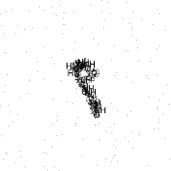 C[C@H](NC(=O)OCC1c2ccccc2-c2ccccc21)C(=O)N[C@H](C)C(=O)N[C@@H](C)C(=O)NCSCCc1ccc(NC(=O)NCc2ccc3c(c2)CN(C2CCC(=O)NC2=O)C3=O)cc1Cl